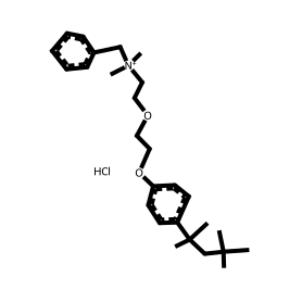 CC(C)(C)CC(C)(C)c1ccc(OCCOCC[N+](C)(C)Cc2ccccc2)cc1.Cl